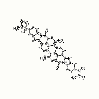 CCN(C)[S+]([O-])c1ccc2c(c1)nc1c3ccc4c5c([N+](=O)[O-])cc6c(=O)n7c8ccc(S(=O)(=O)N(C)C)cc8nc7c7ccc(c8c(N)cc(c(=O)n21)c3c48)c5c67